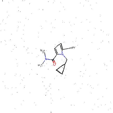 CC(C)c1ccc(C(=O)N(C)C)n1CC1CC1